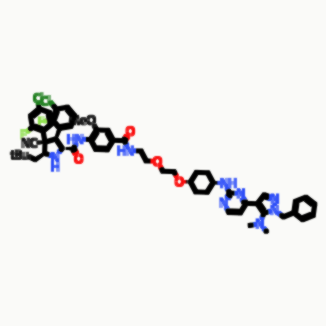 COc1cc(C(=O)NCCOCCO[C@H]2CC[C@H](Nc3nccc(-c4cnn(Cc5ccccc5)c4N(C)C)n3)CC2)ccc1NC(=O)[C@@H]1N[C@@H](CC(C)(C)C)[C@](C#N)(c2ccc(Cl)cc2F)[C@H]1c1cccc(Cl)c1F